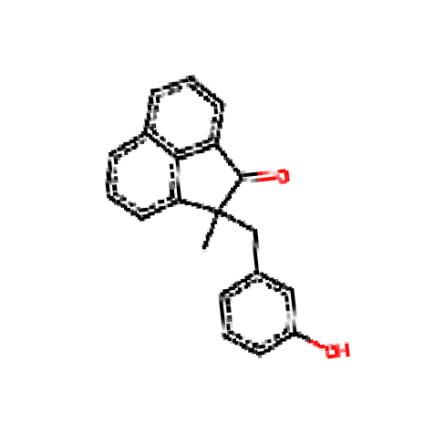 CC1(Cc2cccc(O)c2)C(=O)c2cccc3cccc1c23